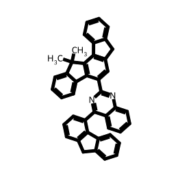 CC1(C)c2ccccc2-c2c(-c3nc(-c4cccc5c4-c4ccccc4C5)c4ccccc4n3)cc3c(c21)-c1ccccc1C3